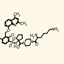 Cc1cc(C)c2cccc(OCc3c(Cl)ccc(S(=O)(=O)NC4(C(=O)N5CCN(C(=O)C(N)CCCCN)CC5)CCCC4)c3Cl)c2n1